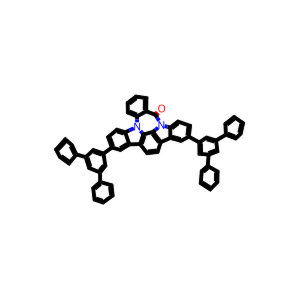 O=c1c2ccccc2n2c3ccc(-c4cc(-c5ccccc5)cc(-c5ccccc5)c4)cc3c3ccc4c5cc(-c6cc(-c7ccccc7)cc(-c7ccccc7)c6)ccc5n1c4c32